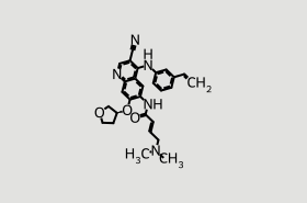 C=Cc1cccc(Nc2c(C#N)cnc3cc(O[C@H]4CCOC4)c(NC(=O)/C=C/CN(C)C)cc23)c1